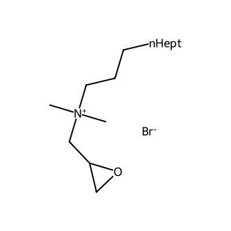 CCCCCCCCCC[N+](C)(C)CC1CO1.[Br-]